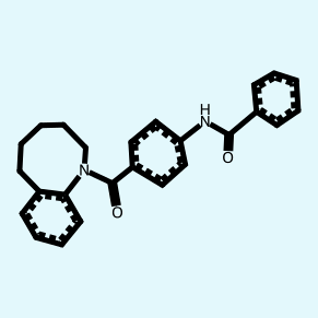 O=C(Nc1ccc(C(=O)N2CCCCCc3ccccc32)cc1)c1ccccc1